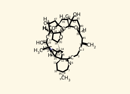 C=C1CCCC2=NC[C@H](C)CC[C@@]23CCC([C@@H]2CC(C)C(=O)O2)=C(C)[C@@H]3/C=C(\C)[C@@H](O)C[C@H]2O[C@]3(CC[C@@]4(O[C@@H](CC[C@@]4(C)O)C1)O3)C[C@H]2C